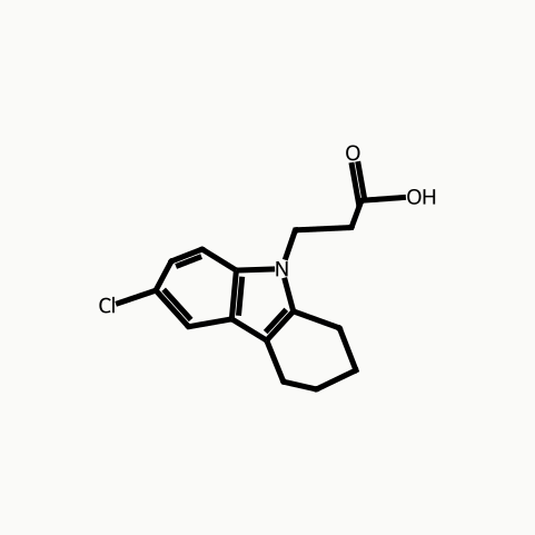 O=C(O)CCn1c2c(c3cc(Cl)ccc31)CCCC2